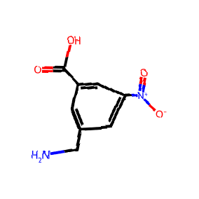 NCc1cc(C(=O)O)cc([N+](=O)[O-])c1